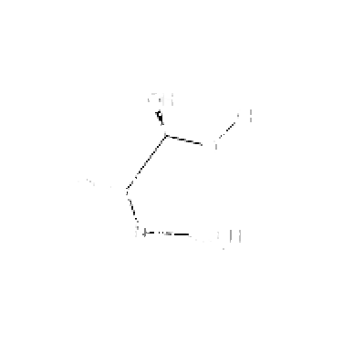 C[C@@H](NC(=O)O)[C@@H](O)OC(F)(F)F